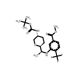 COC(=O)c1ccc(C(F)(F)F)c(N[C@@H](C)[C@@H]2CC[C@@H](NC(=O)OC(C)(C)C)CO2)c1